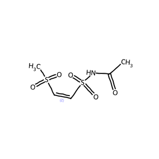 CC(=O)NS(=O)(=O)/C=C\S(C)(=O)=O